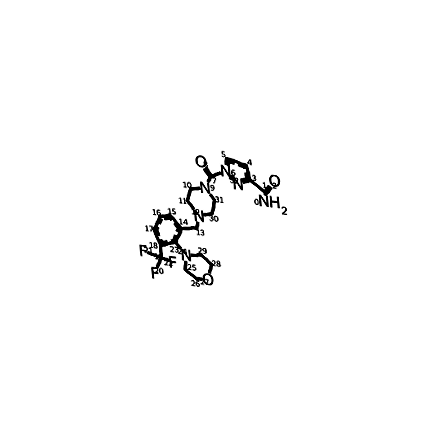 NC(=O)c1ccn(C(=O)N2CCN(Cc3cccc(C(F)(F)F)c3N3CCOCC3)CC2)n1